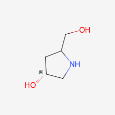 OCC1C[C@@H](O)CN1